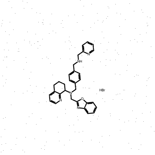 Br.c1ccc(CNCc2ccc(CN(Cc3nc4ccccc4o3)C3CCCc4cccnc43)cc2)nc1